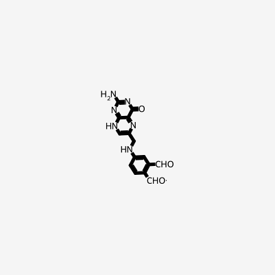 Nc1nc2[nH]cc(CNc3ccc([C]=O)c(C=O)c3)nc-2c(=O)n1